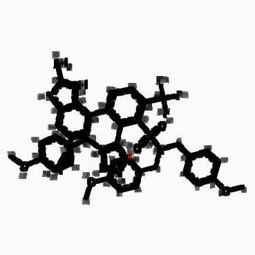 COc1ccc(CN(Cc2ccc(OC)cc2)S(=O)(=O)c2c(C(F)(F)F)ccc(-c3cc(C#N)cc4nc(N)[nH]c34)c2-c2nnnn2Cc2ccc(OC)cc2)cc1